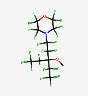 COC(C(F)(F)C(F)(F)F)(C(F)(F)C(F)(F)F)C(F)(F)C(F)(F)N1C(F)(F)C(F)(F)OC(F)(F)C1(F)F